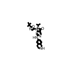 CC(C)n1c(=O)c2cnc(Nc3ccc4c(c3)CCNC4)nc2n1-c1cnc(C(C)(C)C)o1